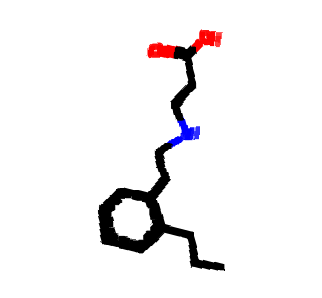 CCCc1ccccc1CCNCCC(=O)O